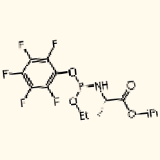 CCO[P@](N[C@@H](C)C(=O)OC(C)C)Oc1c(F)c(F)c(F)c(F)c1F